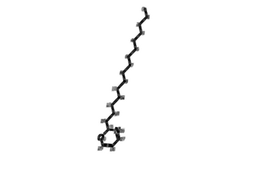 CCCCCCCCCCCCCCCC1N=CC=CO1